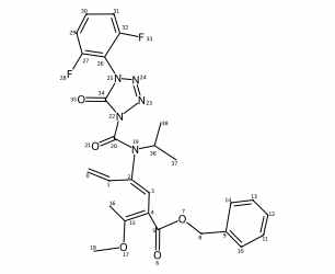 C=C/C(=C\C(C(=O)OCc1ccccc1)=C(/C)OC)N(C(=O)n1nnn(-c2c(F)cccc2F)c1=O)C(C)C